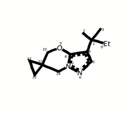 CCC(C)(C)c1cnn2c1OCC1(CC1)C2